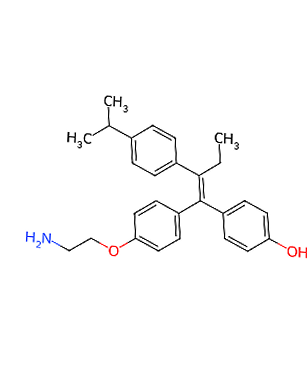 CC/C(=C(\c1ccc(O)cc1)c1ccc(OCCN)cc1)c1ccc(C(C)C)cc1